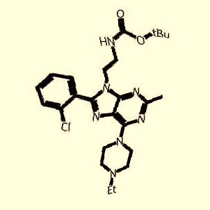 CCN1CCN(c2nc(C)nc3c2nc(-c2ccccc2Cl)n3CCNC(=O)OC(C)(C)C)CC1